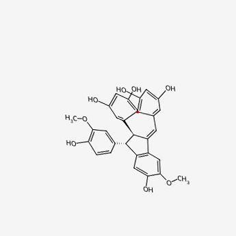 COc1cc([C@H]2c3cc(O)c(OC)cc3/C(=C/c3cc(O)cc(O)c3)[C@@H]2c2cc(O)cc(O)c2)ccc1O